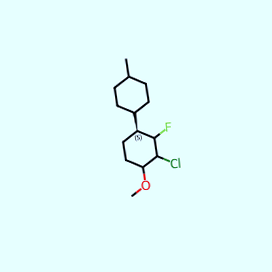 COC1CC[C@@H](C2CCC(C)CC2)C(F)C1Cl